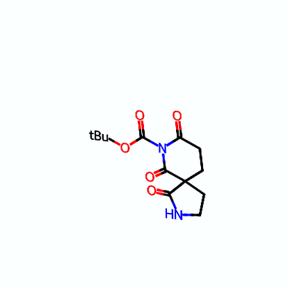 CC(C)(C)OC(=O)N1C(=O)CCC2(CCNC2=O)C1=O